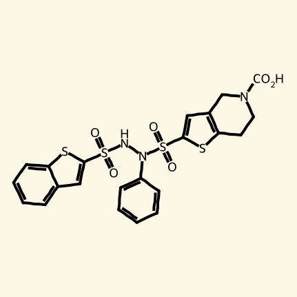 O=C(O)N1CCc2sc(S(=O)(=O)N(NS(=O)(=O)c3cc4ccccc4s3)c3ccccc3)cc2C1